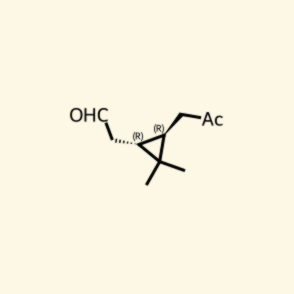 CC(=O)C[C@@H]1[C@@H](CC=O)C1(C)C